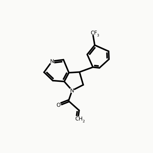 C=CC(=O)N1CC(c2cccc(C(F)(F)F)c2)c2cnccc21